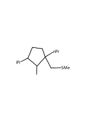 CCCC1(CSC)CCC(C(C)C)C1C